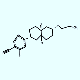 CCCC[C@@H]1CC[C@@H]2C[C@H](c3ccc(C#N)c(F)c3)CC[C@@H]2C1